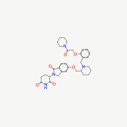 O=C1CCC(N2Cc3cc(OCC4CCCCN4Cc4ccccc4OCC(=O)N4CCCCC4)ccc3C2=O)C(=O)N1